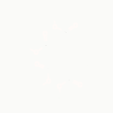 O=C(OCl)c1c(Cl)c(Cl)c(C(=O)OCl)c(C(=O)OCl)c1C(=O)OCl